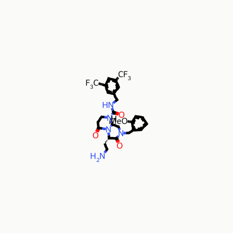 COc1ccccc1CN1C[C@@H]2N(C(=O)NCc3cc(C(F)(F)F)cc(C(F)(F)F)c3)CCC(=O)N2[C@@H](CCN)C1=O